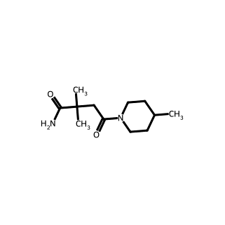 CC1CCN(C(=O)CC(C)(C)C(N)=O)CC1